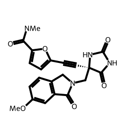 CNC(=O)c1ccc(C#C[C@]2(CN3Cc4ccc(OC)cc4C3=O)NC(=O)NC2=O)o1